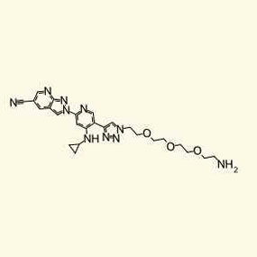 N#Cc1cnc2nn(-c3cc(NC4CC4)c(-c4cn(CCOCCOCCOCCN)nn4)cn3)cc2c1